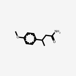 COc1ccc(C(C)CC(N)=O)cc1